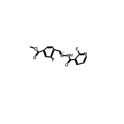 COC(=O)c1ccc(/C=N/NC(=O)c2cccnc2F)c(F)c1